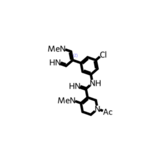 CN/C=C(\C=N)c1cc(Cl)cc(NC(=N)C2=C(NC)CCN(C(C)=O)C2)c1